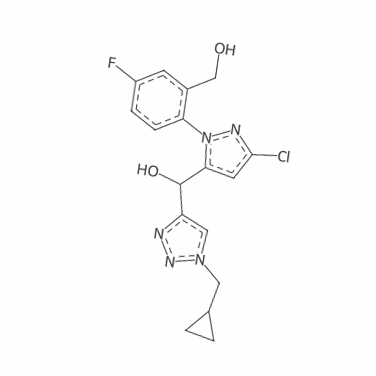 OCc1cc(F)ccc1-n1nc(Cl)cc1C(O)c1cn(CC2CC2)nn1